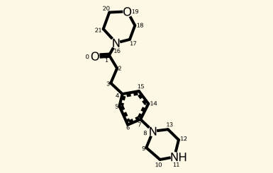 O=C(CCc1ccc(N2CCNCC2)cc1)N1CCOCC1